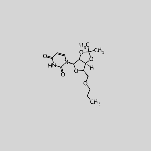 CCCOC[C@H]1O[C@@H](n2ccc(=O)[nH]c2=O)C2OC(C)(C)O[C@H]21